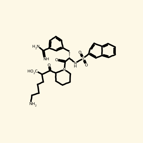 N=C(N)c1cccc(C[C@H](NS(=O)(=O)c2ccc3ccccc3c2)C(=O)N2CCCCC2C(=O)C(CCCCN)C(=O)O)c1